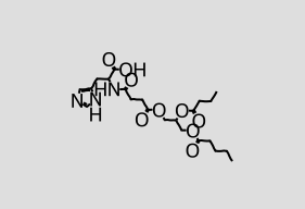 CCCCC(=O)OCC(COC(=O)CCC(=O)NC(Cc1cnc[nH]1)C(=O)O)OC(=O)CCC